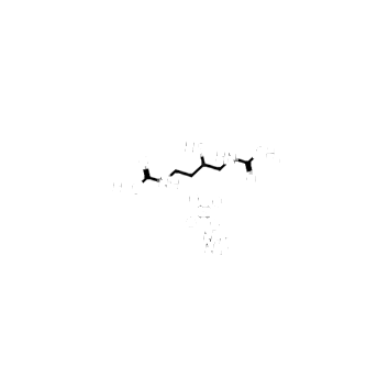 CC(=O)NCCC(S)CNC(C)=O.O=S(=O)([O-])[O-].[Na+].[Na+]